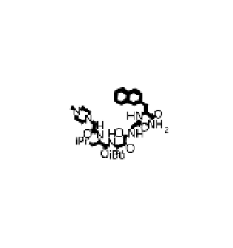 CC[C@H](C)C(NC(=O)C(CC(C)C)NC(=O)CN1CCN(C)CC1)C(=O)C(=O)NCC(=O)NC(Cc1ccc2ccccc2c1)C(N)=O